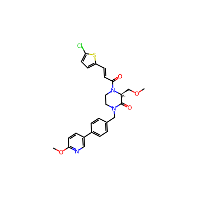 COC[C@H]1C(=O)N(Cc2ccc(-c3ccc(OC)nc3)cc2)CCN1C(=O)C=Cc1ccc(Cl)s1